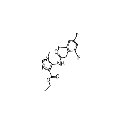 CCOC(=O)c1ncn(C)c1NC(=O)Cc1c(F)cc(F)cc1F